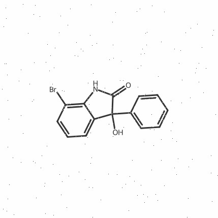 O=C1Nc2c(Br)cccc2C1(O)c1ccccc1